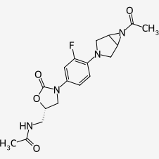 CC(=O)NC[C@H]1CN(c2ccc(N3CC4C(C3)N4C(C)=O)c(F)c2)C(=O)O1